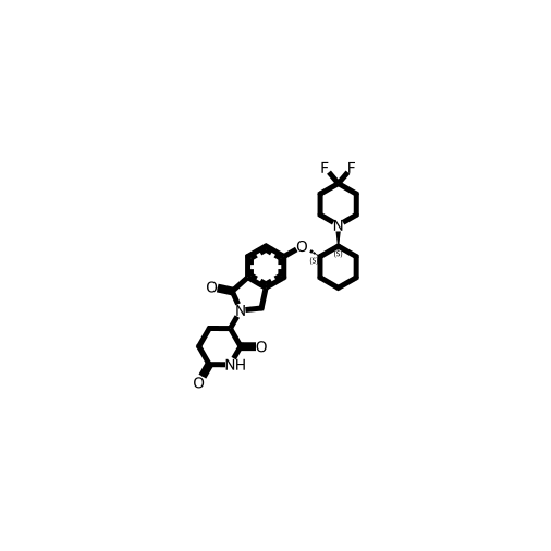 O=C1CCC(N2Cc3cc(O[C@H]4CCCC[C@@H]4N4CCC(F)(F)CC4)ccc3C2=O)C(=O)N1